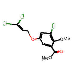 COC(=O)c1cc(OCC=C(Cl)Cl)cc(Cl)c1OC